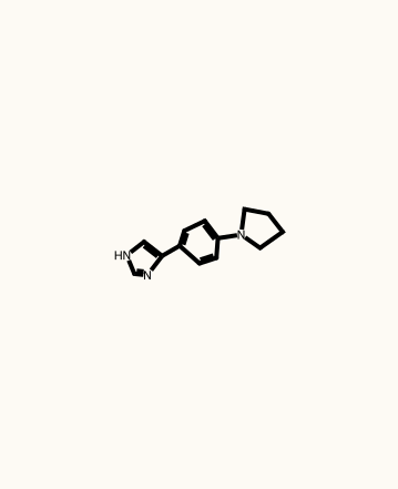 c1nc(-c2ccc(N3CCCC3)cc2)c[nH]1